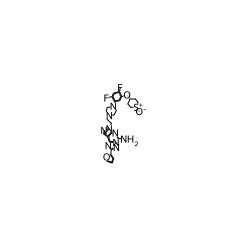 Nc1nc2c(cnn2CCN2CCN(c3cc(O[C@H]4CC[S@+]([O-])CC4)c(F)cc3F)CC2)c2nc(-c3ccco3)nn12